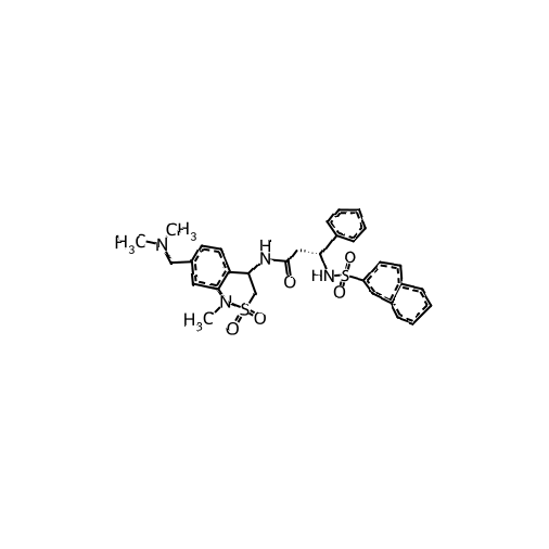 CN(C)Cc1ccc2c(c1)N(C)S(=O)(=O)CC2NC(=O)C[C@@H](NS(=O)(=O)c1ccc2ccccc2c1)c1ccccc1